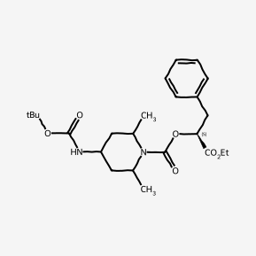 CCOC(=O)[C@H](Cc1ccccc1)OC(=O)N1C(C)CC(NC(=O)OC(C)(C)C)CC1C